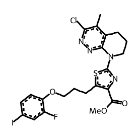 COC(=O)c1nc(N2CCCc3c2nnc(Cl)c3C)sc1CCCOc1ccc(I)cc1F